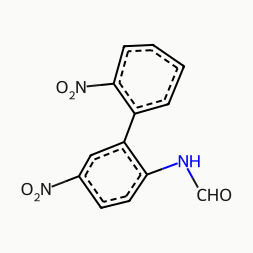 O=CNc1ccc([N+](=O)[O-])cc1-c1ccccc1[N+](=O)[O-]